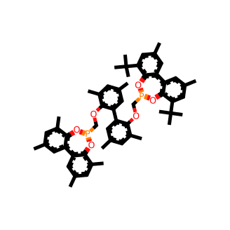 Cc1cc(C)c(OCp2oc3c(C)cc(C)cc3c3cc(C)cc(C)c3o2)c(-c2cc(C)cc(C)c2OCp2oc3c(C(C)(C)C)cc(C)cc3c3cc(C)cc(C(C)(C)C)c3o2)c1